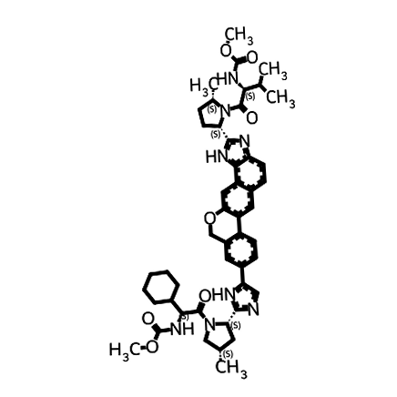 COC(=O)N[C@H](C(=O)N1[C@@H](C)CC[C@H]1c1nc2ccc3cc4c(cc3c2[nH]1)OCc1cc(-c2cnc([C@@H]3C[C@H](C)CN3C(=O)[C@@H](NC(=O)OC)C3CCCCC3)[nH]2)ccc1-4)C(C)C